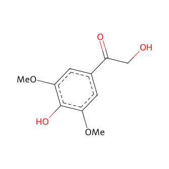 COc1cc(C(=O)CO)cc(OC)c1O